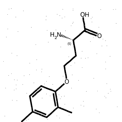 Cc1ccc(OCC[C@H](N)C(=O)O)c(C)c1